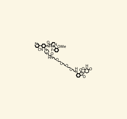 COc1cccc(F)c1-c1nccc(C(=O)Nc2ccc(-c3cnccc3C#N)cc2N2CCN(CC(=O)NCCOCCOCCOCCOCCNc3cccc4c3C(=O)N(C3CCC(=O)NC3=O)C4=O)CC2)n1